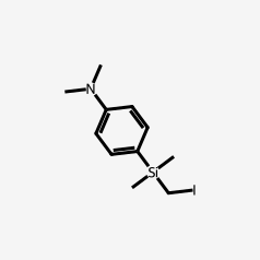 CN(C)c1ccc([Si](C)(C)CI)cc1